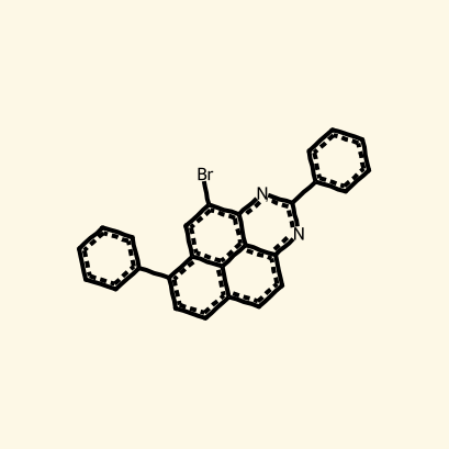 Brc1cc2c(-c3ccccc3)ccc3ccc4nc(-c5ccccc5)nc1c4c32